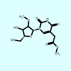 COC(=O)Cc1cn([C@H]2O[C@@H](CO)C(O)C2OC)c(=O)[nH]c1=O